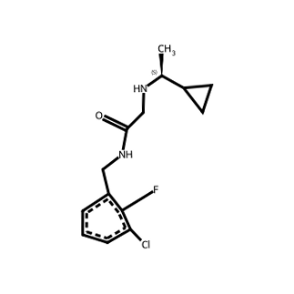 C[C@H](NCC(=O)NCc1cccc(Cl)c1F)C1CC1